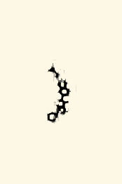 Cc1c(-c2cc(Cl)c3cnc(NC(=O)C4CC4F)cc3c2)cnc2c1ncn2C1CCCCO1